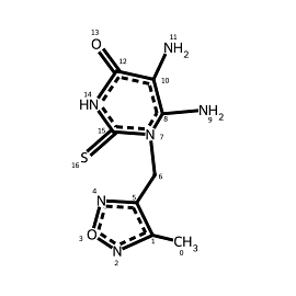 Cc1nonc1Cn1c(N)c(N)c(=O)[nH]c1=S